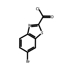 O=C(Cl)c1nc2ccc(Br)cc2s1